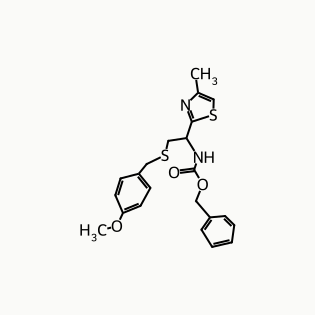 COc1ccc(CSCC(NC(=O)OCc2ccccc2)c2nc(C)cs2)cc1